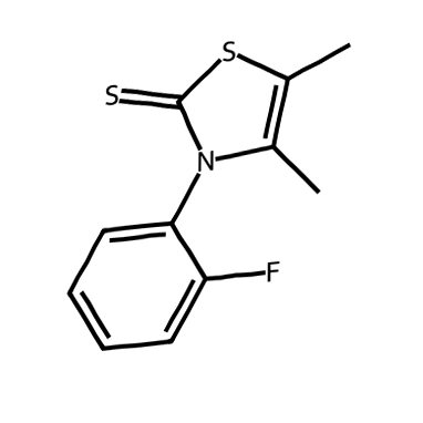 Cc1sc(=S)n(-c2ccccc2F)c1C